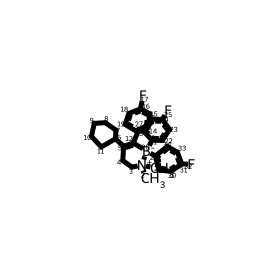 C[N+]1(C)CCC(C2CCCCC2)=C(c2ccc(F)cc2)[B-]1(c1ccc(F)cc1)c1ccc(F)cc1